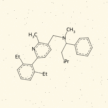 CCc1cccc(CC)c1-c1ccc(CN(C)C(CC(C)C)c2ccccc2)c(C)n1